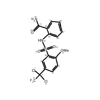 COc1ccc(C(Cl)(Cl)C(F)(F)F)cc1S(=O)(=O)Nc1ccccc1C(N)=O